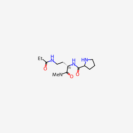 CCC(=O)NCC[C@H](NC(=O)C1CCCN1)C(=O)NC